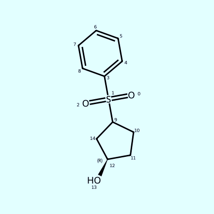 O=S(=O)(c1ccccc1)C1CC[C@@H](O)C1